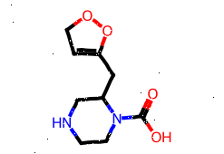 O=C(O)N1CCNCC1CC1=CCOO1